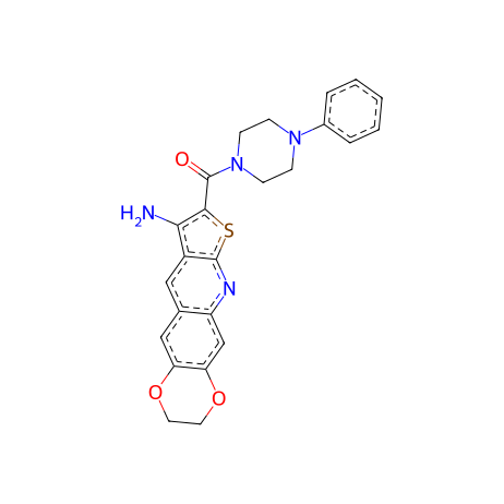 Nc1c(C(=O)N2CCN(c3ccccc3)CC2)sc2nc3cc4c(cc3cc12)OCCO4